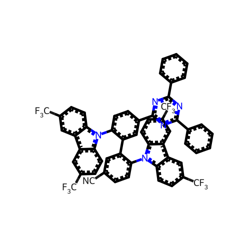 N#Cc1ccc(-n2c3ccc(C(F)(F)F)cc3c3cc(C(F)(F)F)ccc32)c(-c2cc(-c3nc(-c4ccccc4)nc(-c4ccccc4)n3)ccc2-n2c3ccc(C(F)(F)F)cc3c3cc(C(F)(F)F)ccc32)c1